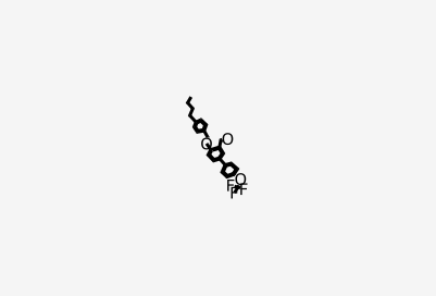 CCCCc1ccc(COc2ccc(-c3ccc(OC(F)(F)F)cc3)cc2C=O)cc1